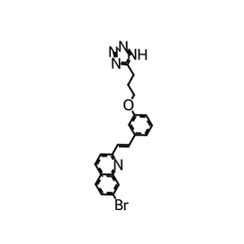 Brc1ccc2ccc(C=Cc3cccc(OCCCc4nnn[nH]4)c3)nc2c1